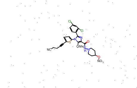 COc1c(C(=O)NN2CCC(O[N+](=O)[O-])CC2)nc(-c2ccc(Cl)cc2Cl)n1-c1ccc(C#CCCC#N)s1